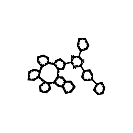 c1ccc(-c2ccc(-c3nc(-c4ccccc4)nc(-c4ccc5c6ccccc6c6ccccc6c6ccccc6c6cc7ccccc7cc6c5c4)n3)cc2)cc1